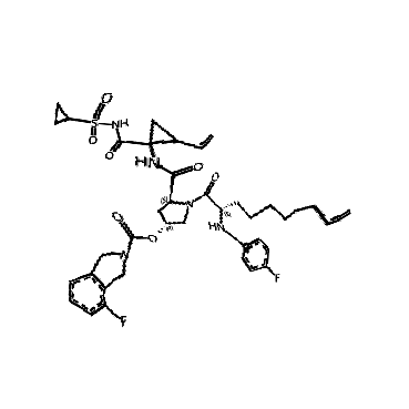 C=CCCCCC[C@H](Nc1ccc(F)cc1)C(=O)N1C[C@H](OC(=O)N2Cc3cccc(F)c3C2)C[C@H]1C(=O)NC1(C(=O)NS(=O)(=O)C2CC2)CC1C=C